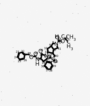 CC(C)(C)OC(=O)N1CC2CC(N3CCC(NC(=O)OCc4ccccc4)C3=O)C(CS(=O)(=O)c3ccccc3)C2C1